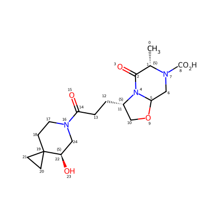 C[C@H]1C(=O)N2C(CN1C(=O)O)OC[C@@H]2CCC(=O)N1CCC2(CC2)[C@H](O)C1